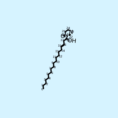 CCCCCCCCCCCCCCCC=CCC(O)[N+]1([O-])C=NCC1